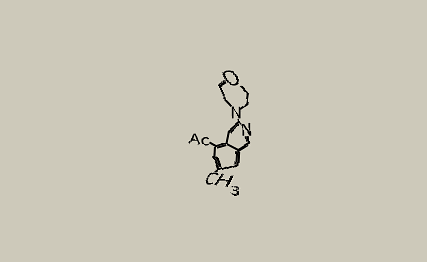 CC(=O)c1cc(C)cc2cnc(N3CCOCC3)cc12